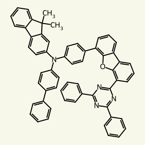 CC1(C)c2ccccc2-c2ccc(N(c3ccc(-c4ccccc4)cc3)c3ccc(-c4cccc5c4oc4c(-c6nc(-c7ccccc7)nc(-c7ccccc7)n6)cccc45)cc3)cc21